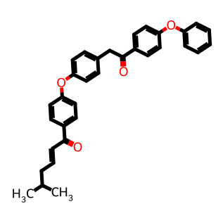 CC(C)C/C=C/C(=O)c1ccc(Oc2ccc(CC(=O)c3ccc(Oc4ccccc4)cc3)cc2)cc1